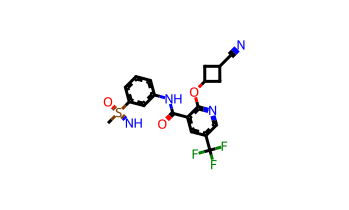 CS(=N)(=O)c1cccc(NC(=O)c2cc(C(F)(F)F)cnc2OC2CC(C#N)C2)c1